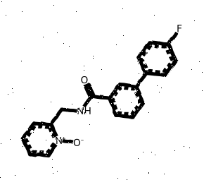 O=C(NCc1cccc[n+]1[O-])c1cccc(-c2ccc(F)cc2)c1